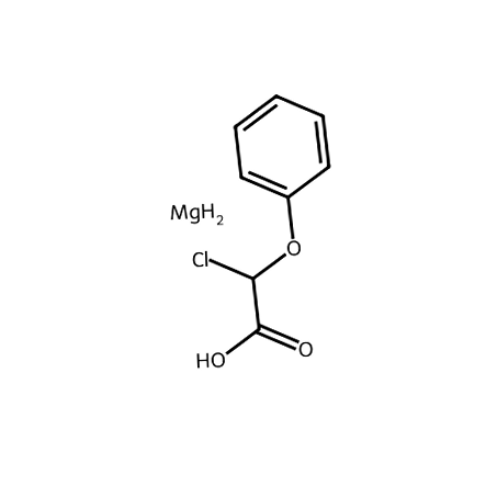 O=C(O)C(Cl)Oc1ccccc1.[MgH2]